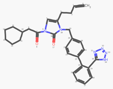 C=CCCc1cn(C(=O)CC2CCCCC2)c(=O)n1Cc1ccc(-c2ccccc2-c2nnn[nH]2)cc1